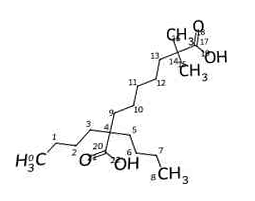 CCCCC(CCCC)(CCCCCC(C)(C)C(=O)O)C(=O)O